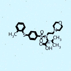 Cc1ccccc1Sc1ccc(S(=O)(=O)N(CCN2CCOCC2)[C@@H](C(=O)O)C(C)C)cc1